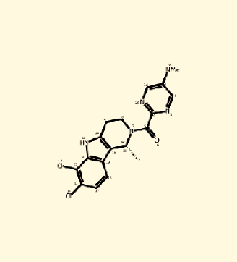 CNc1cnc(C(=O)N2CCc3[nH]c4c(Cl)c(Cl)ccc4c3[C@H]2C)nc1